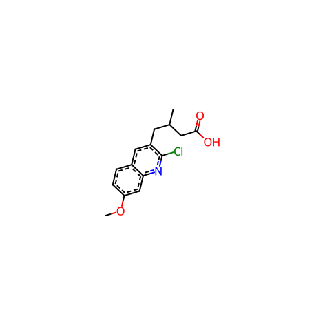 COc1ccc2cc(CC(C)CC(=O)O)c(Cl)nc2c1